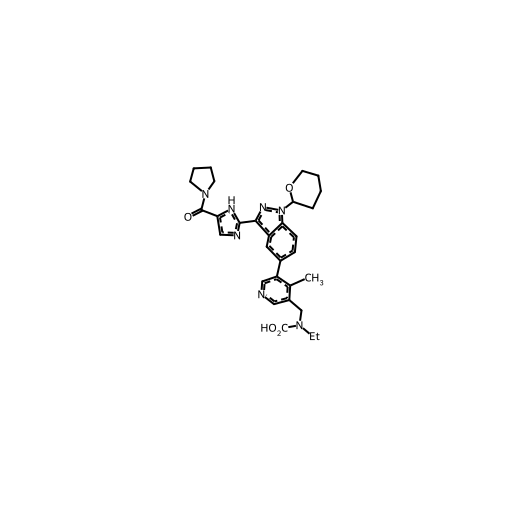 CCN(Cc1cncc(-c2ccc3c(c2)c(-c2ncc(C(=O)N4CCCC4)[nH]2)nn3C2CCCCO2)c1C)C(=O)O